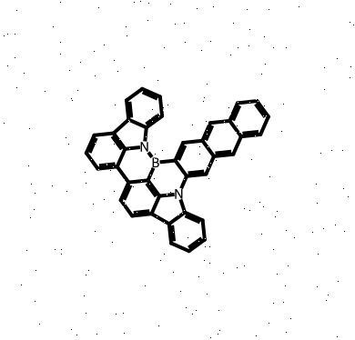 c1ccc2cc3cc4c(cc3cc2c1)B1c2c(ccc3c5ccccc5n-4c23)-c2cccc3c4ccccc4n1c23